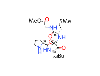 CC[C@H](C)[C@H](NC(=O)[C@@H]1CCCN1)C(=O)[Se]N[C@@H](CCSC)C(=O)NCC(=O)OC